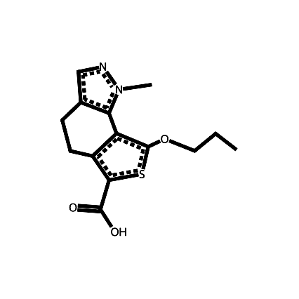 CCCOc1sc(C(=O)O)c2c1-c1c(cnn1C)CC2